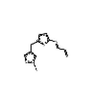 Cn1cc(Cn2ccc(N=CC=S)n2)cn1